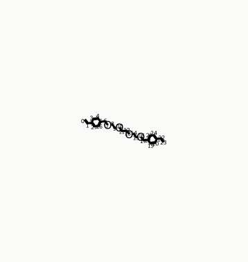 C=Cc1ccc(COCCOCCOCCOCc2ccc(C=C)cc2)cc1